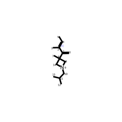 C=C(/C(C)=C/C)C1(C)CN(CC(C)C)C1